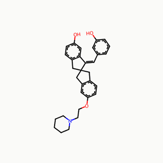 Oc1cccc(C=C2c3cc(O)ccc3CC23Cc2ccc(OCCN4CCCCC4)cc2C3)c1